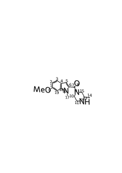 COc1ccc2cc(C(=O)N3CCN[C@H](C)C3)n(C)c2c1